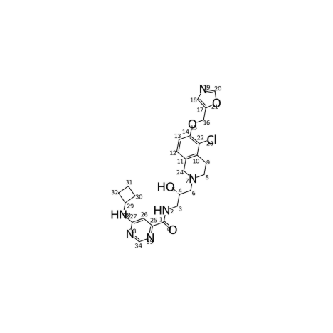 O=C(NC[C@H](O)CN1CCc2c(ccc(OCc3cnco3)c2Cl)C1)c1cc(NC2CCC2)ncn1